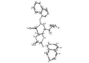 NC(=O)N1OC(Cc2cccc3ccccc23)C(=O)N2CC(=O)N(Cc3cccc4cccnc34)CC21